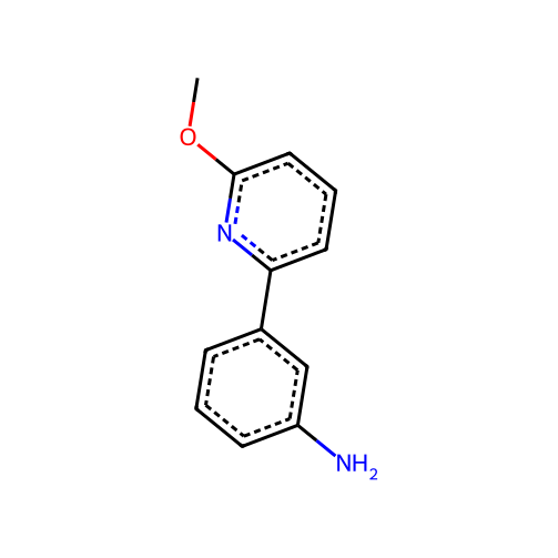 COc1cccc(-c2cccc(N)c2)n1